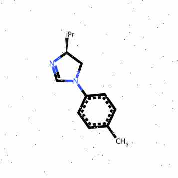 Cc1ccc(N2[C]=N[C@@H](C(C)C)C2)cc1